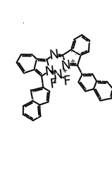 F[N+]1(F)n2c(c3ccccc3c2-c2ccc3ccccc3c2)N=C2c3ccccc3C(c3ccc4ccccc4c3)=[N+]21